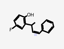 CC(/C=C\c1ccccc1)c1cc(F)ccc1O